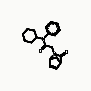 O=C1C2C=CC(C2)N1CC(=O)N(c1ccccc1)C1CCCCC1